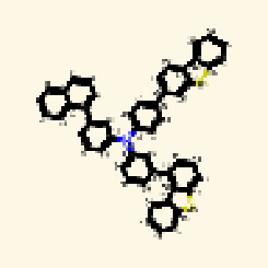 c1cc(-c2cccc3ccccc23)cc(N(c2ccc(-c3ccc4c(c3)sc3ccccc34)cc2)c2cccc(-c3cccc4sc5ccccc5c34)c2)c1